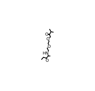 CCC(=O)C(C)NCCOCCOCC(=O)C(C)C